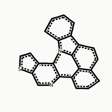 c1cc2ccc3c4ccccc4n4c5c6ccsc6cnc5c(c1)c2c34